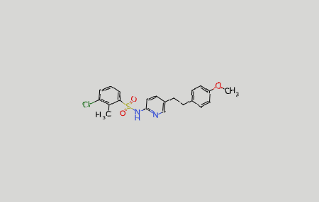 COc1ccc(CCc2ccc(NS(=O)(=O)c3cccc(Cl)c3C)nc2)cc1